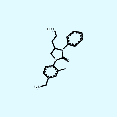 Cc1cc(CN)ccc1N1CC(CCC(=O)O)N(c2ccccc2)C1=O